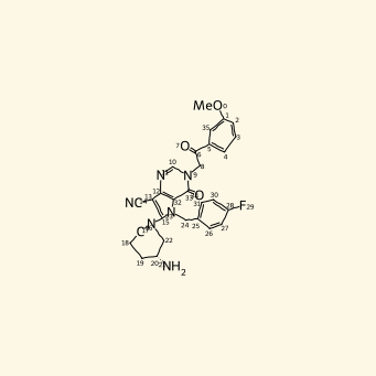 COc1cccc(C(=O)Cn2cnc3c(C#N)c(N4CCC[C@@H](N)C4)n(Cc4ccc(F)cc4)c3c2=O)c1